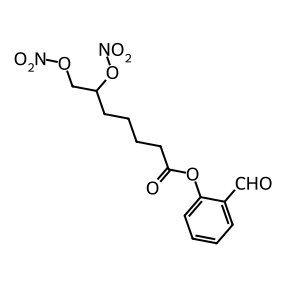 O=Cc1ccccc1OC(=O)CCCCC(CO[N+](=O)[O-])O[N+](=O)[O-]